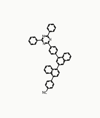 N#Cc1ccc(-c2ccc(-c3cc(-c4ccc(-c5nc(-c6ccccc6)nc(-c6ccccc6)n5)cc4)c4ccccc4c3)c3ccccc23)cc1